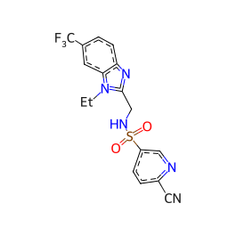 CCn1c(CNS(=O)(=O)c2ccc(C#N)nc2)nc2ccc(C(F)(F)F)cc21